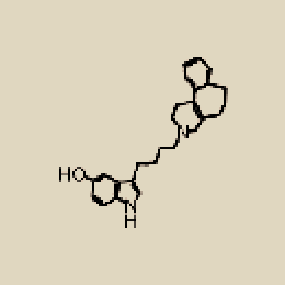 Oc1ccc2[nH]cc(CCCCN3CCC4=C(CCCc5ccccc54)C3)c2c1